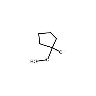 OOC1(O)CCCC1